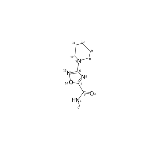 CNC(=O)c1nc(N2CCCCC2)no1